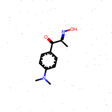 C/C(=N\O)C(=O)c1ccc(N(C)C)cc1